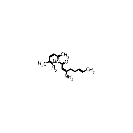 C=C(C)/C=C\C(=C)NC(=O)/C=C(/N)CC/C=C/C